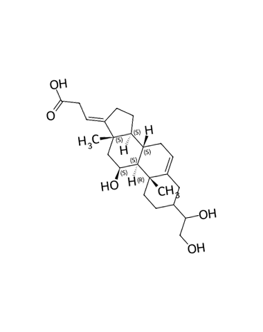 C[C@]12CCC(C(O)CO)CC1=CC[C@@H]1[C@@H]2[C@@H](O)C[C@]2(C)C(=CCC(=O)O)CC[C@@H]12